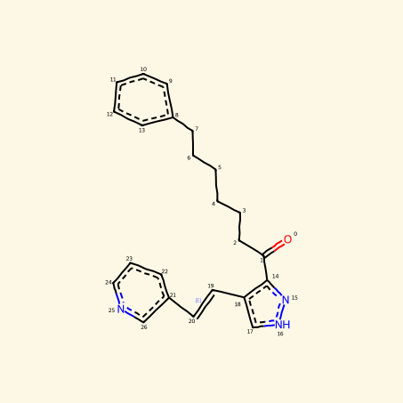 O=C(CCCCCCc1ccccc1)c1n[nH]cc1/C=C/c1cccnc1